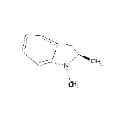 C[C@@H]1Cc2ccccc2N1C